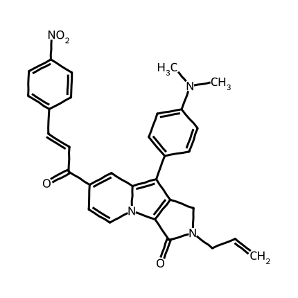 C=CCN1Cc2c(-c3ccc(N(C)C)cc3)c3cc(C(=O)/C=C/c4ccc([N+](=O)[O-])cc4)ccn3c2C1=O